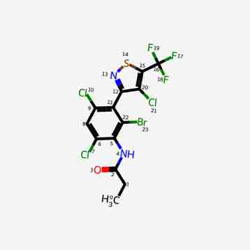 CCC(=O)Nc1c(Cl)cc(Cl)c(-c2nsc(C(F)(F)F)c2Cl)c1Br